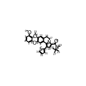 COc1cccc(Oc2cc3c(cc2OC)CCn2c(C(=O)N(C)C(C)(C)C)cc(-c4cccs4)c2-3)c1